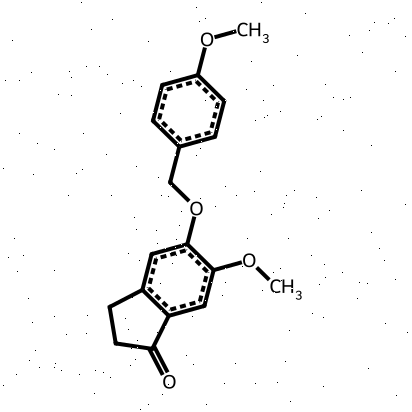 COc1ccc(COc2cc3c(cc2OC)C(=O)CC3)cc1